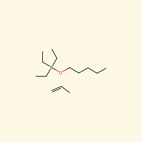 C=CC.CCCCCO[Si](CC)(CC)CC